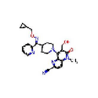 Cn1c(=O)c(CO)c(N2CCC(/C(=N/OCC3CC3)c3ccccn3)CC2)c2nc(C#N)ccc21